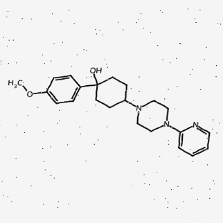 COc1ccc(C2(O)CCC(N3CCN(c4ccccn4)CC3)CC2)cc1